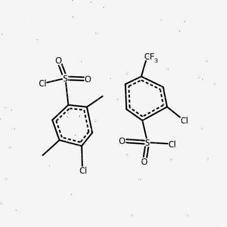 Cc1cc(S(=O)(=O)Cl)c(C)cc1Cl.O=S(=O)(Cl)c1ccc(C(F)(F)F)cc1Cl